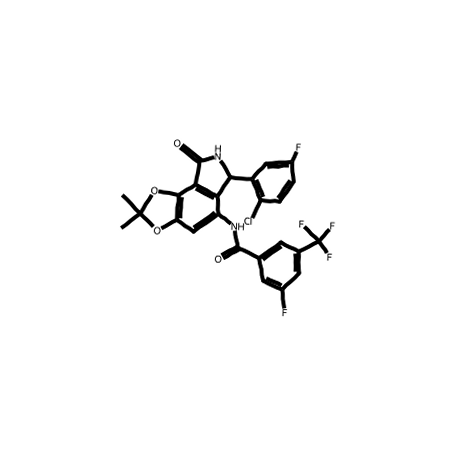 CC1(C)Oc2cc(NC(=O)c3cc(F)cc(C(F)(F)F)c3)c3c(c2O1)C(=O)NC3c1cc(F)ccc1Cl